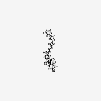 Cc1ccnc(-c2cnn([C@H]3C[C@H](CCCNc4ccc5c(c4)C(=O)N(C4CCC(=O)NC4=O)C5=O)C3)c2)c1